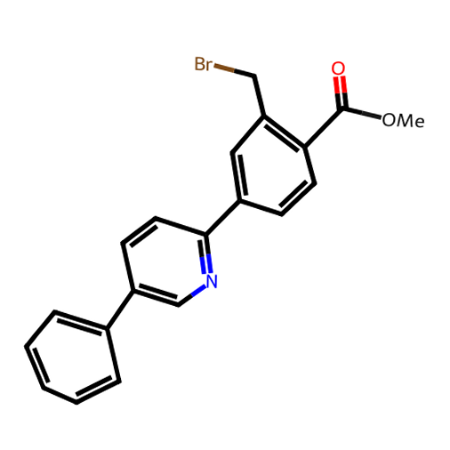 COC(=O)c1ccc(-c2ccc(-c3ccccc3)cn2)cc1CBr